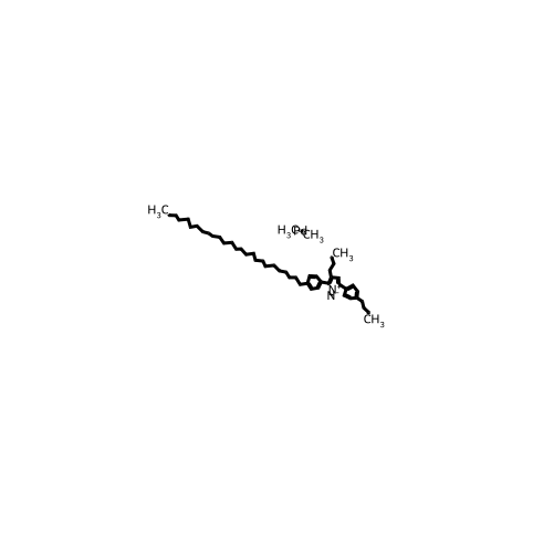 CCCCCCCCCCCCCCCCCCCCCCCCCCc1ccc(C2=C(CCCC)C=C(c3ccc(CCCC)cc3)[N+]2=[N-])cc1.[CH3][Pd][CH3]